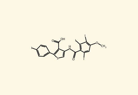 COc1cc(I)c(C(=O)Nc2csc(-c3ccc(I)cc3)c2C(=O)O)c(I)c1I